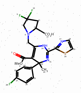 COC(=O)C1=C(CN2CC(F)(F)CC2C(=O)O)NC(c2nccs2)=NC1(C)c1ccc(F)cc1